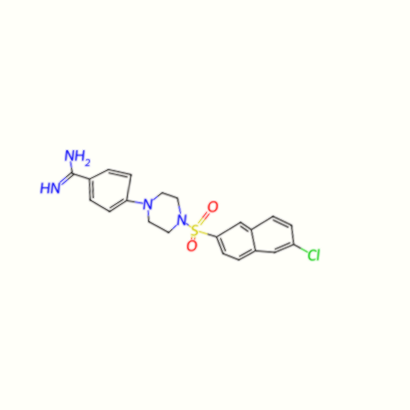 N=C(N)c1ccc(N2CCN(S(=O)(=O)c3ccc4cc(Cl)ccc4c3)CC2)cc1